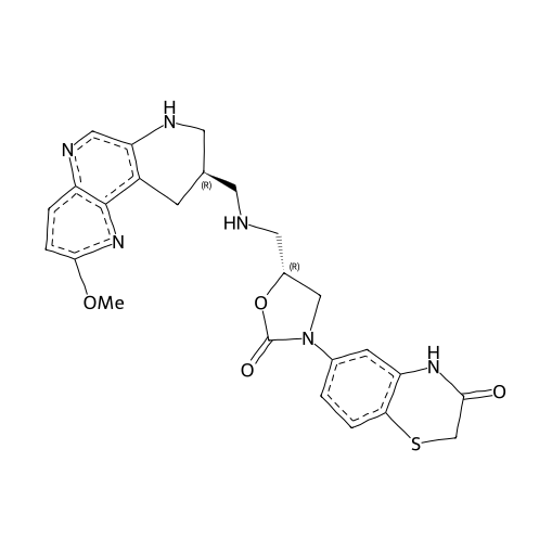 COc1ccc2ncc3c(c2n1)C[C@H](CNC[C@@H]1CN(c2ccc4c(c2)NC(=O)CS4)C(=O)O1)CN3